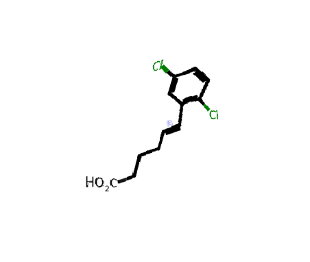 O=C(O)CCC/C=C/c1cc(Cl)ccc1Cl